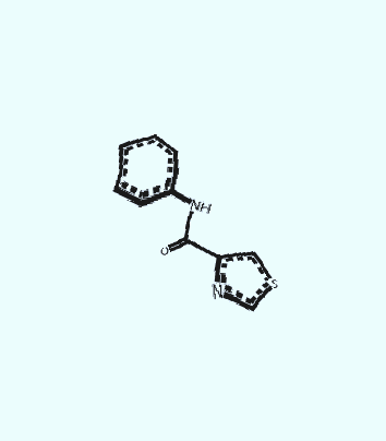 O=C(Nc1ccccc1)c1cscn1